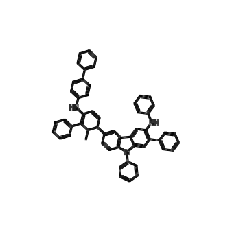 CC1C(c2ccccc2)=C(Nc2ccc(-c3ccccc3)cc2)C=CC1c1ccc2c(c1)c1cc(Nc3ccccc3)c(-c3ccccc3)cc1n2-c1ccccc1